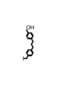 OCc1ccc(CCCc2ccc(CI)cc2)cc1